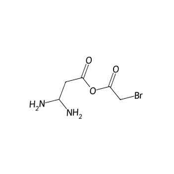 NC(N)CC(=O)OC(=O)CBr